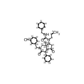 C=CCN(C(=O)NCc1ccccc1)N1CC(=O)N2[C@@H](c3ccccc3)C(=O)N(Cc3cccc(Cl)c3)C[C@@H]21